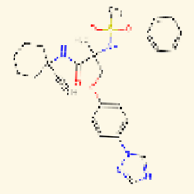 C#CC1(NC(=O)C(C)(COc2ccc(-n3cncn3)cc2)NS(C)(=O)=O)CCCCC1.c1ccccc1